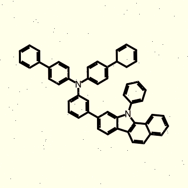 C1=CCC(c2ccc(N(c3ccc(-c4ccccc4)cc3)c3cccc(-c4ccc5c6ccc7ccccc7c6n(-c6ccccc6)c5c4)c3)cc2)C=C1